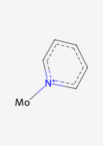 [Mo][n+]1ccccc1